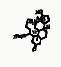 CCCCCCCC(CCC(=O)O)C1CC(=O)CC2CC[C@@H]3[C@H](CC[C@]4(C)[C@@H](O)CC[C@@H]34)[C@]21C